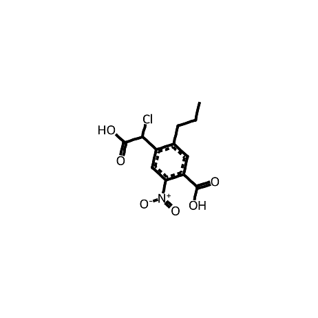 CCCc1cc(C(=O)O)c([N+](=O)[O-])cc1C(Cl)C(=O)O